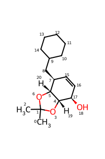 CC1(C)O[C@@H]2[C@H](O1)[C@@H](CC1CCCCC1)C=C[C@H]2O